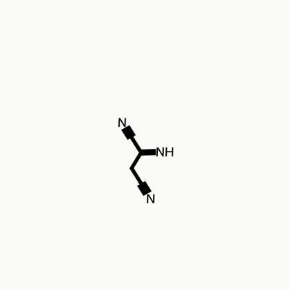 N#CCC(=N)C#N